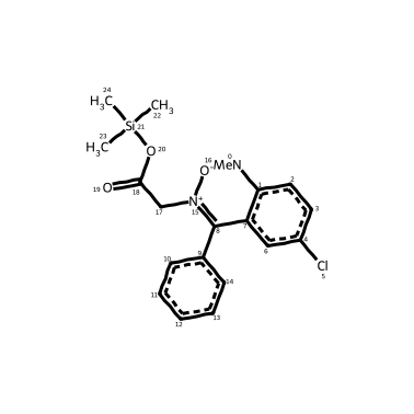 CNc1ccc(Cl)cc1C(c1ccccc1)=[N+]([O-])CC(=O)O[Si](C)(C)C